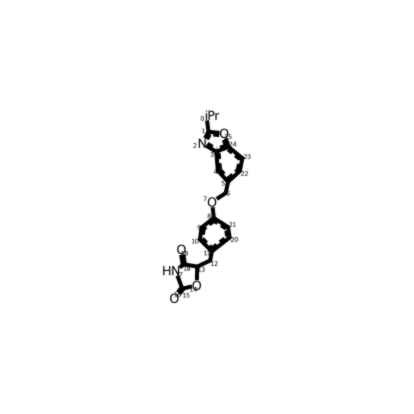 CC(C)c1nc2cc(COc3ccc(CC4OC(=O)NC4=O)cc3)ccc2o1